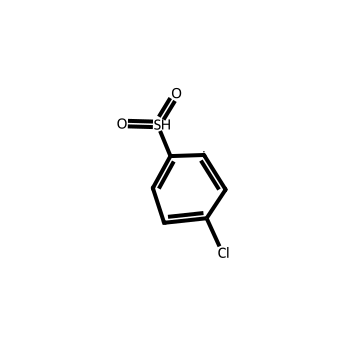 O=[SH](=O)c1[c]cc(Cl)cc1